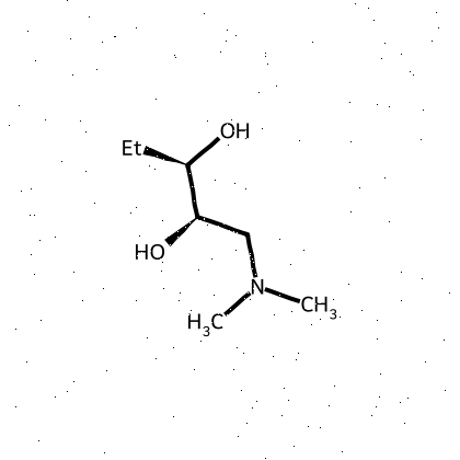 CC[C@@H](O)[C@H](O)CN(C)C